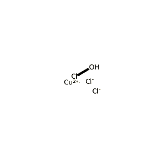 OCl.[Cl-].[Cl-].[Cu+2]